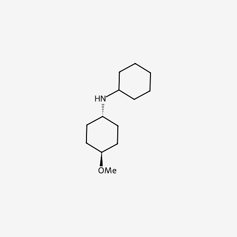 CO[C@H]1CC[C@H](NC2CCCCC2)CC1